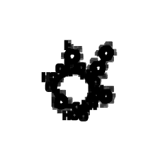 O=C1C[C@@H](O)C(=O)Nc2ccc(cc2)C[C@@H](C(=O)O)NC(=O)[C@@H](Cc2ccccc2)NC(=O)[C@H](Cc2ccc(-c3ccccc3)cc2)NC(=O)[C@@H](Cc2ccc(F)cc2)N1